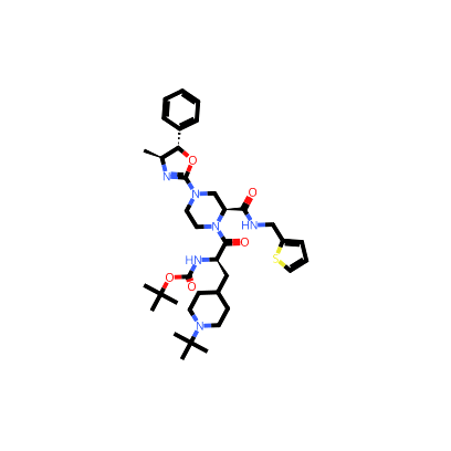 C[C@@H]1N=C(N2CCN(C(=O)[C@@H](CC3CCN(C(C)(C)C)CC3)NC(=O)OC(C)(C)C)[C@H](C(=O)NCc3cccs3)C2)O[C@H]1c1ccccc1